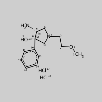 COCCN1C[C@@H](N)[C@](O)(c2ccccc2)C1.Cl.Cl